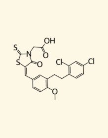 COc1ccc(/C=C2/SC(=S)N(CC(=O)O)C2=O)cc1CCc1ccc(Cl)cc1Cl